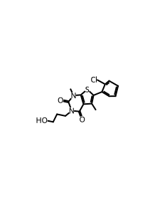 Cc1c(-c2ccccc2Cl)sc2c1c(=O)n(CCCO)c(=O)n2C